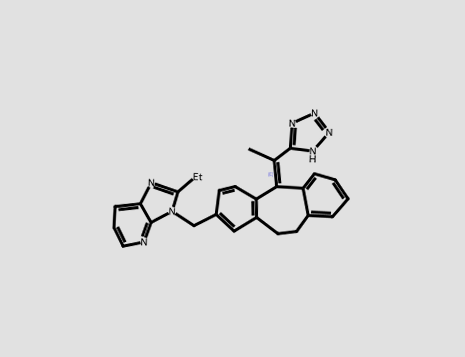 CCc1nc2cccnc2n1Cc1ccc2c(c1)CCc1ccccc1/C2=C(/C)c1nnn[nH]1